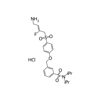 CC(C)N(C(C)C)S(=O)(=O)c1cccc(COc2ccc(S(=O)(=O)C/C(F)=C/CN)cc2)c1.Cl